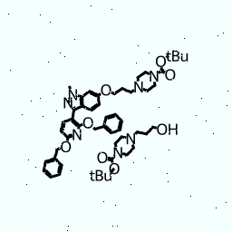 CC(C)(C)OC(=O)N1CCN(CCCO)CC1.Cn1nc(-c2ccc(OCc3ccccc3)nc2OCc2ccccc2)c2ccc(OCCCN3CCN(C(=O)OC(C)(C)C)CC3)cc21